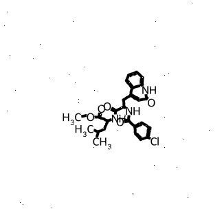 CCOC(=O)C(CC(C)C)NC(=O)C(Cc1cc(=O)[nH]c2ccccc12)NC(=O)c1ccc(Cl)cc1